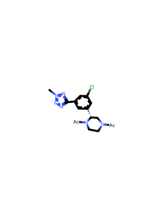 CC(=O)N1CCN(C(C)=O)[C@H](c2cc(Cl)cc(-c3nnn(C)n3)c2)C1